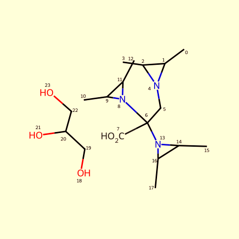 CC1C(C)N1CC(C(=O)O)(N1C(C)C1C)N1C(C)C1C.OCC(O)CO